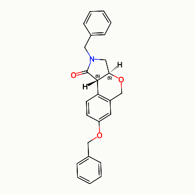 O=C1[C@H]2c3ccc(OCc4ccccc4)cc3CO[C@@H]2CN1Cc1ccccc1